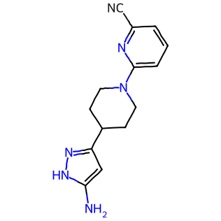 N#Cc1cccc(N2CCC(c3cc(N)[nH]n3)CC2)n1